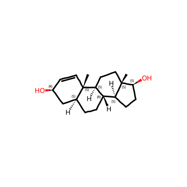 C[C@]12C=C[C@H](O)C[C@@H]1CC[C@@H]1[C@@H]2CC[C@]2(C)[C@@H](O)CC[C@@H]12